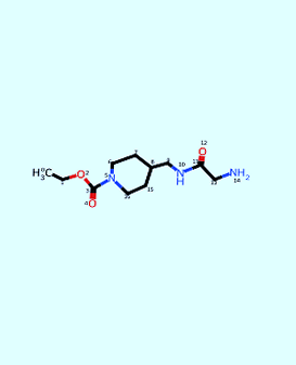 CCOC(=O)N1CCC(CNC(=O)CN)CC1